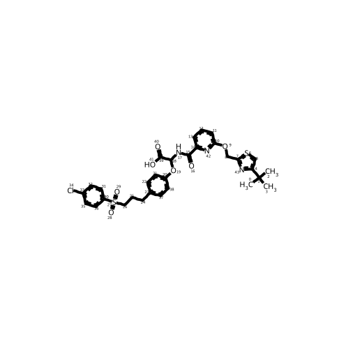 CC(C)(C)c1csc(COc2cccc(C(=O)NC(Oc3ccc(CCCS(=O)(=O)c4ccc(Cl)cc4)cc3)C(=O)O)n2)n1